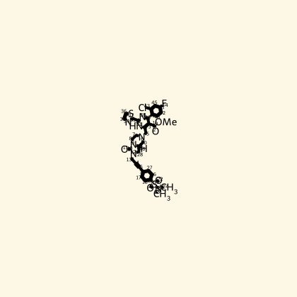 COC(=O)C1=C(CN2CCN3C(=O)N(CC#Cc4ccc(S(=O)(=O)N(C)C)cc4)C[C@@H]3C2)NC(c2nccs2)=N[C@H]1c1ccc(F)cc1Cl